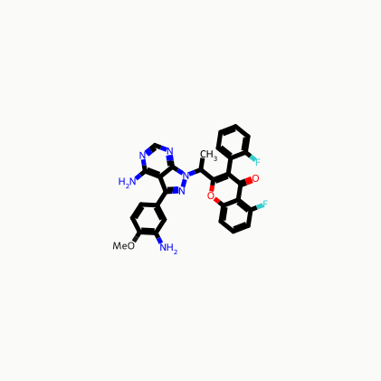 COc1ccc(-c2nn(C(C)c3oc4cccc(F)c4c(=O)c3-c3ccccc3F)c3ncnc(N)c23)cc1N